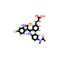 CC(=O)N(C)c1ccc(NC(=C2C(=O)Nc3cc(Cl)ccc32)c2cccc(CCC(=O)O)c2)cc1